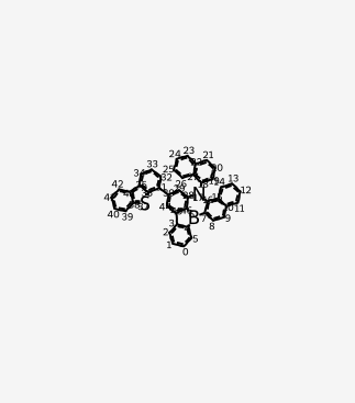 c1ccc2c(c1)B1c3ccc4ccccc4c3N(c3cccc4ccccc34)c3cc(-c4cccc5c4sc4ccccc45)cc-2c31